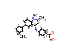 CC(=O)N1c2ccc(-c3cccc(C)c3)cc2[C@H](Nc2ccc(C(=O)CO)cc2)C[C@@H]1C